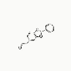 O=CCc1ccc2c(c1)OC(c1ccccc1)O2